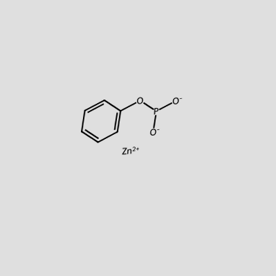 [O-]P([O-])Oc1ccccc1.[Zn+2]